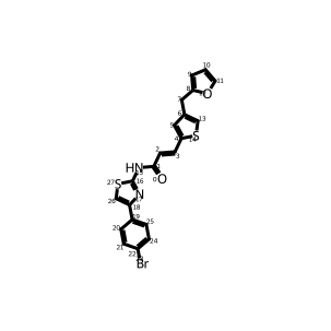 O=C(C=Cc1cc(Cc2ccco2)cs1)Nc1nc(-c2ccc(Br)cc2)cs1